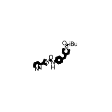 CC[C@H](C)C(=O)N1CCC(Cc2ccc(NC(=O)N3CC(c4cccnn4)C3)cc2)CC1